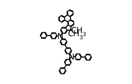 CC1(C)c2cc(N(c3ccc(-c4ccccc4)cc3)c3ccc(-c4ccc(N(c5ccc(-c6ccccc6)cc5)c5ccc(-c6ccccc6)cc5)cc4)cc3)ccc2-c2c1ccc1c3ccccc3c3ccccc3c21